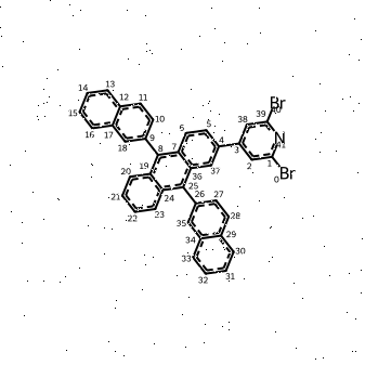 Brc1cc(-c2ccc3c(-c4ccc5ccccc5c4)c4ccccc4c(-c4ccc5ccccc5c4)c3c2)cc(Br)n1